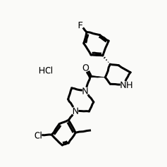 Cc1ccc(Cl)cc1N1CCN(C(=O)[C@@H]2CNCC[C@H]2c2ccc(F)cc2)CC1.Cl